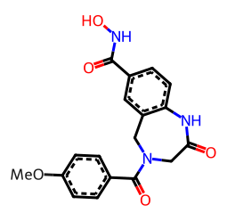 COc1ccc(C(=O)N2CC(=O)Nc3ccc(C(=O)NO)cc3C2)cc1